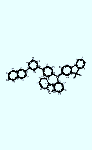 CC1(C)c2ccccc2-c2ccc(N(c3ccc(-c4cccc(-c5ccc6ccccc6c5)c4)cc3)c3cccc4oc5c(c34)CCC=C5)cc21